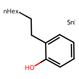 CCCCCCCCc1ccccc1O.[Sn]